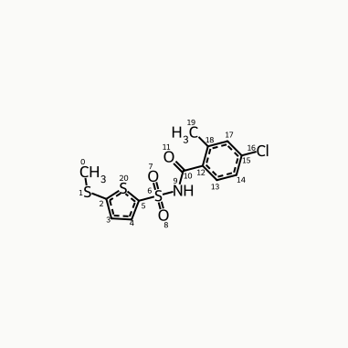 CSc1ccc(S(=O)(=O)NC(=O)c2ccc(Cl)cc2C)s1